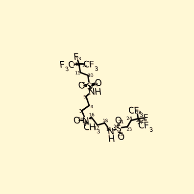 C[N+]([O-])(CCCNS(=O)(=O)CCC(F)(C(F)(F)F)C(F)(F)F)CCCNS(=O)(=O)CCC(F)(C(F)(F)F)C(F)(F)F